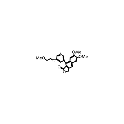 COCCOc1cncc(-c2c3c(cc4cc(OC)c(OC)cc24)COC3=O)c1